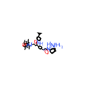 Nc1ccccc1NC(=O)/C=C/c1ccc(C(CCCN2C[C@@H]3C[C@H]2CO3)C(=O)Nc2ccc(C3CC3)cc2)cc1